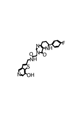 O=C(Cn1cnc2c(c1=O)N[C@H](c1ccc(F)cc1)CC2)NCc1cc2cncc(O)c2s1